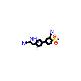 CS(=O)(=O)c1ccc(-c2ccc(C[C@H](N)C#N)c(F)c2)cc1C#N